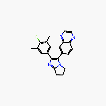 Cc1cc(-c2nc3n(c2-c2ccc4nccnc4c2)CCC3)cc(C)c1F